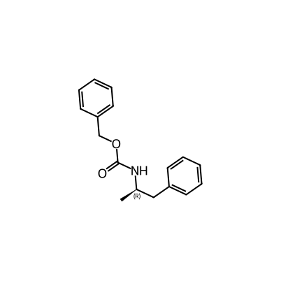 C[C@H](Cc1ccccc1)NC(=O)OCc1ccccc1